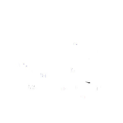 CNC(=N)NCCC[C@H](NC(=O)C1CC1)C(=O)N[C@@H](CC(C)C)B(O)O